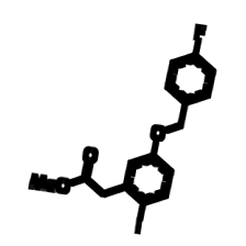 COC(=O)Cc1cc(OCc2ccc(F)cc2)ccc1I